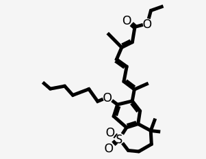 CCCCCCOc1cc2c(cc1C(C)=CC=CC(C)=CC(=O)OCC)C(C)(C)CCCS2(=O)=O